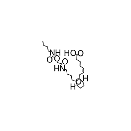 CCCCNC(=O)OCC(=O)NCCCC[C@H]1[C@@H](C/C=C\CCCC(=O)O)[C@H]2CC[C@@H]1O2